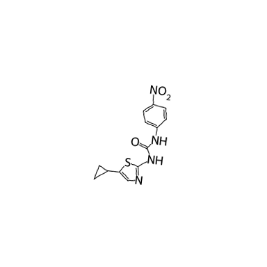 O=C(Nc1ccc([N+](=O)[O-])cc1)Nc1ncc(C2CC2)s1